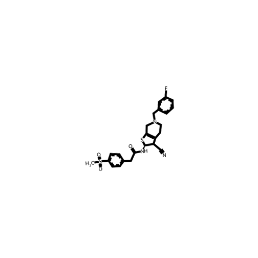 CS(=O)(=O)c1ccc(CC(=O)N[C@H]2SC3=C(CCN(Cc4cccc(F)c4)C3)C2C#N)cc1